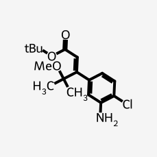 COC(C)(C)C(=CC(=O)OC(C)(C)C)c1ccc(Cl)c(N)c1